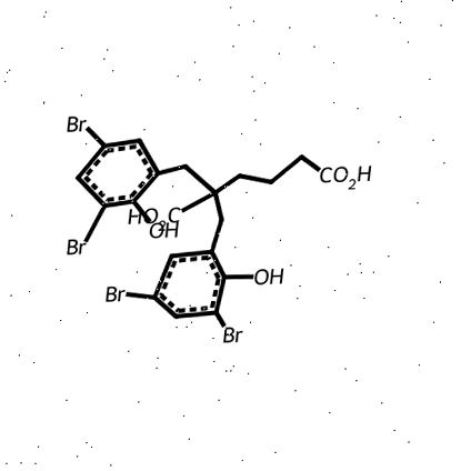 O=C(O)CCCC(Cc1cc(Br)cc(Br)c1O)(Cc1cc(Br)cc(Br)c1O)C(=O)O